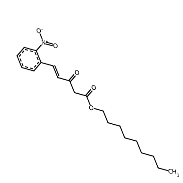 CCCCCCCCCOC(=O)CC(=O)C=Cc1ccccc1[N+](=O)[O-]